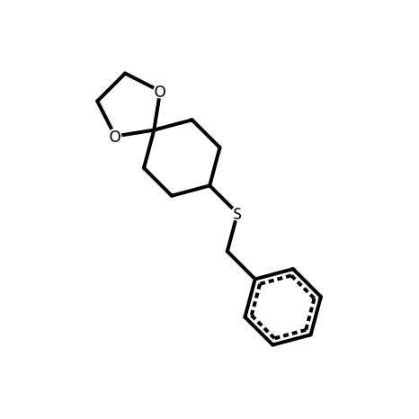 c1ccc(CSC2CCC3(CC2)OCCO3)cc1